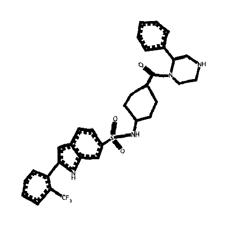 O=C(C1CCC(NS(=O)(=O)c2ccc3cc(-c4ccccc4C(F)(F)F)[nH]c3c2)CC1)N1CCNCC1c1ccccc1